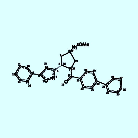 CON=C1C[C@@H](c2noc(-c3ccccn3)n2)N(C(=O)c2ccc(-c3ccccc3)cc2)C1